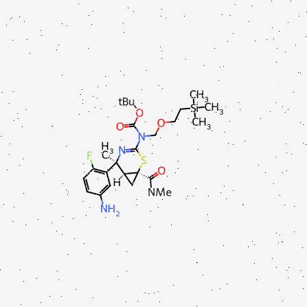 CNC(=O)[C@]12C[C@H]1[C@@](C)(c1cc(N)ccc1F)N=C(N(COCC[Si](C)(C)C)C(=O)OC(C)(C)C)S2